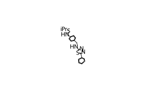 CC(C)SNc1ccc(CNc2nnc(-c3ccccc3)s2)cc1